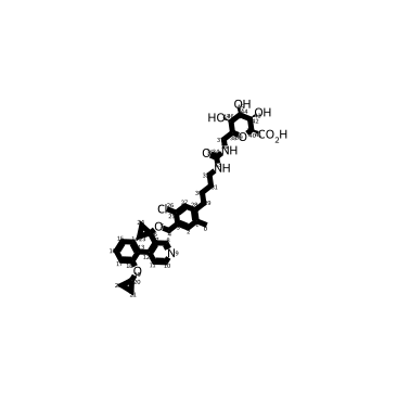 Cc1cc(COC2(c3cnccc3-c3ccccc3OC3CC3)CC2)c(Cl)cc1CCCCNC(=O)NCC1O[C@H](C(=O)O)[C@@H](O)[C@H](O)[C@H]1O